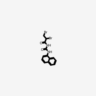 O=C(NC(=O)C(Br)CBr)Nc1cccc2ccccc12